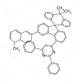 CC1C=CC=C2C=C(c3ccc4c(c3)-c3c(-c5cc(-c6ccccc6)nc(-c6ccccc6)n5)cccc3C43c4ccccc4C(C)(C)c4ccccc43)C=CC21